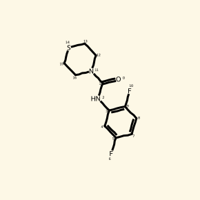 O=C(Nc1cc(F)ccc1F)N1CCSCC1